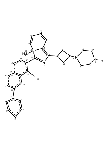 CN1CCN(C2CC(C3=C4C=NC=C[N+]4(N)C(c4ccc5ccc(-c6ccccc6)nc5c4F)=N3)C2)CC1